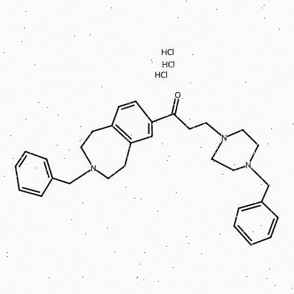 Cl.Cl.Cl.O=C(CCN1CCN(Cc2ccccc2)CC1)c1ccc2c(c1)CCN(Cc1ccccc1)CC2